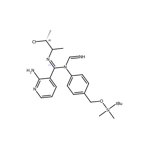 CC(/N=C(/c1cccnc1N)N(C=N)c1ccc(CO[Si](C)(C)C(C)(C)C)cc1)[C@@H](C)Cl